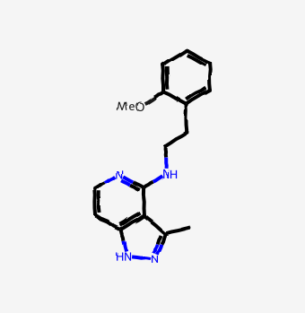 COc1ccccc1CCNc1nccc2[nH]nc(C)c12